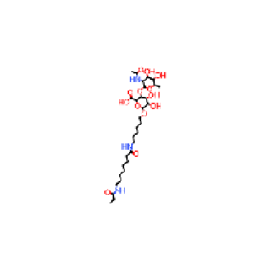 CCC(=O)NCCCCCCCC(=O)NCCCCCCOC1OC(C(=O)O)C(OC2OC(C)C(O)C(O)C2NC(C)=O)C(O)C1O